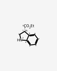 CCOC(=O)[C@H]1CNc2ccccc21